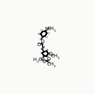 COc1cc(/C=C/C(=O)OCc2ccc(SC)cc2)cc(OC)c1OC(C)=O